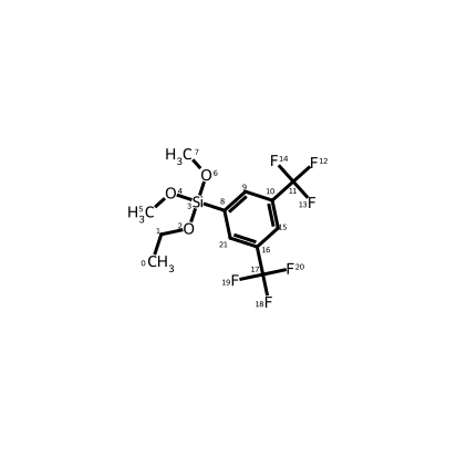 CCO[Si](OC)(OC)c1cc(C(F)(F)F)cc(C(F)(F)F)c1